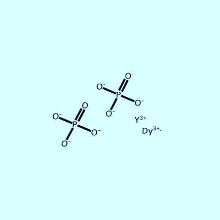 O=P([O-])([O-])[O-].O=P([O-])([O-])[O-].[Dy+3].[Y+3]